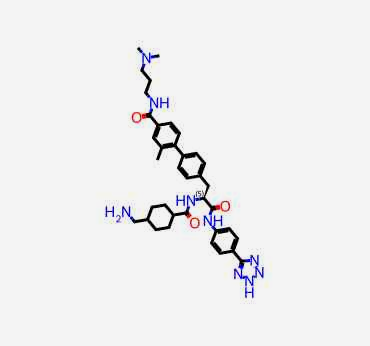 Cc1cc(C(=O)NCCCN(C)C)ccc1-c1ccc(C[C@H](NC(=O)C2CCC(CN)CC2)C(=O)Nc2ccc(-c3nn[nH]n3)cc2)cc1